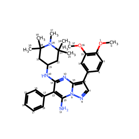 COc1ccc(-c2cnn3c(N)c(-c4ccccc4)c(NC4CC(C)(C)N(C)C(C)(C)C4)nc23)cc1OC